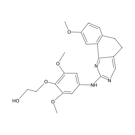 COc1ccc2c(c1)-c1nc(Nc3cc(OC)c(OCCO)c(OC)c3)ncc1CC2